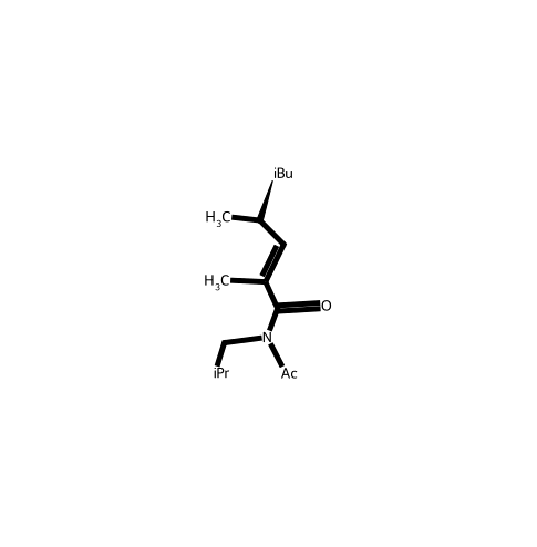 CC[C@H](C)C(C)/C=C(\C)C(=O)N(CC(C)C)C(C)=O